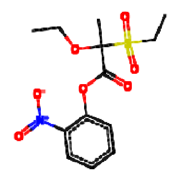 CCOC(C)(C(=O)Oc1ccccc1[N+](=O)[O-])S(=O)(=O)CC